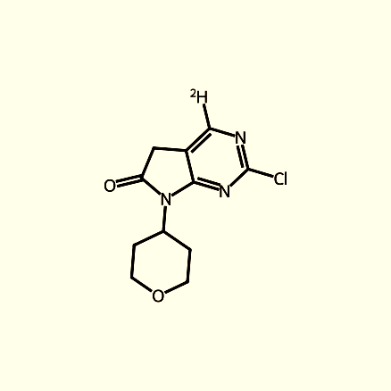 [2H]c1nc(Cl)nc2c1CC(=O)N2C1CCOCC1